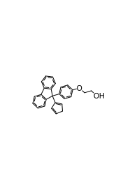 OCCOc1ccc(C2(C3=CCC=C3)c3ccccc3-c3ccccc32)cc1